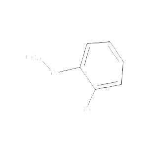 CCCCOc1c[c]ccc1Cl